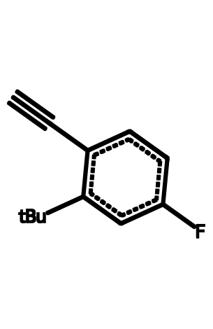 C#Cc1ccc(F)cc1C(C)(C)C